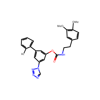 COc1ccc(CCNC(=O)Oc2cc(-c3ccccc3C(C)=O)cc(-n3cnnn3)c2)cc1OC